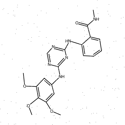 CNC(=O)c1ccccc1Nc1ncnc(Nc2cc(OC)c(OC)c(OC)c2)n1